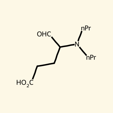 CCCN(CCC)C(C=O)CCC(=O)O